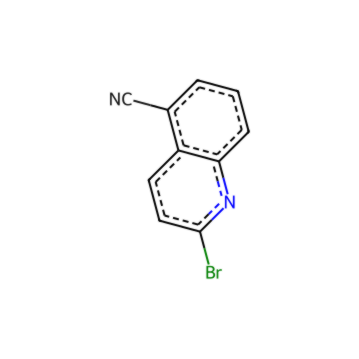 N#Cc1cccc2nc(Br)ccc12